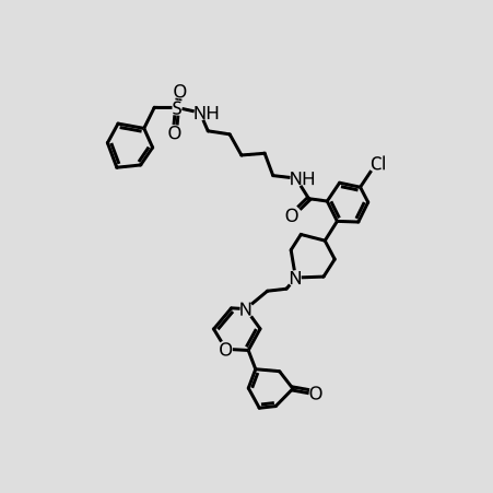 O=C1C=CC=C(C2=CN(CCN3CCC(c4ccc(Cl)cc4C(=O)NCCCCCNS(=O)(=O)Cc4ccccc4)CC3)C=CO2)C1